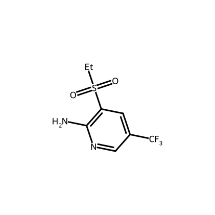 CCS(=O)(=O)c1cc(C(F)(F)F)cnc1N